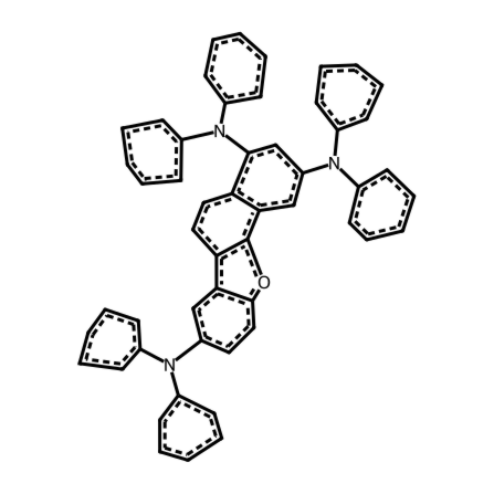 c1ccc(N(c2ccccc2)c2ccc3oc4c5cc(N(c6ccccc6)c6ccccc6)cc(N(c6ccccc6)c6ccccc6)c5ccc4c3c2)cc1